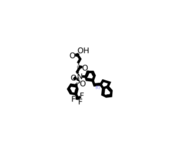 O=C(O)CC[C@H]1CN(S(=O)(=O)c2cccc(C(F)(F)F)c2)c2cc(/C=C3\CCc4ccccc43)ccc2O1